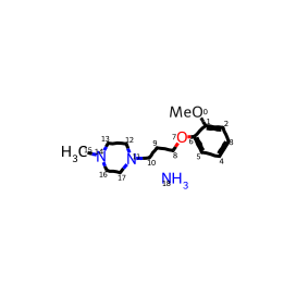 COc1ccccc1OCCCN1CCN(C)CC1.N